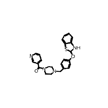 O=C(c1cccnc1)N1CCN(Cc2ccc(OC3Nc4ccccc4S3)cc2)CC1